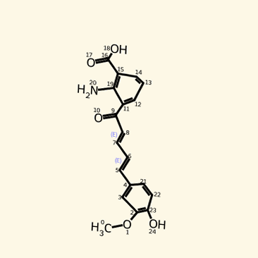 COc1cc(/C=C/C=C/C(=O)c2cccc(C(=O)O)c2N)ccc1O